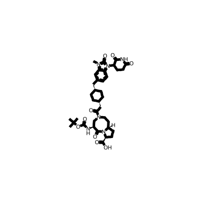 Cn1c(=O)n(C2CCC(=O)NC2=O)c2ccc(C[C@H]3CC[C@@H](CC(=O)N4CC[C@H]5CC[C@@H](C(=O)O)N5C(=O)[C@@H](NC(=O)OC(C)(C)C)C4)CC3)cc21